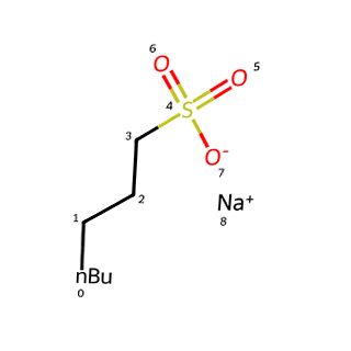 CCCCCCCS(=O)(=O)[O-].[Na+]